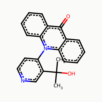 CC(C)(O)c1cnccc1-n1c2ccccc2c(=O)c2ccccc21